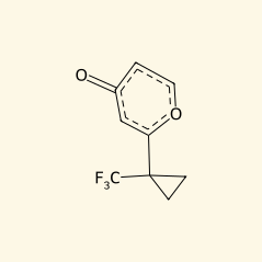 O=c1ccoc(C2(C(F)(F)F)CC2)c1